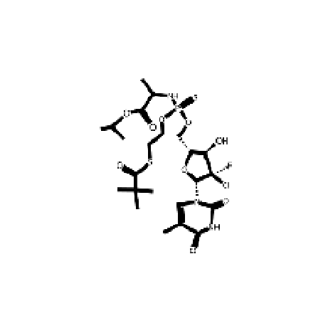 Cc1cn([C@@H]2O[C@H](COP(=S)(NC(C)C(=O)OC(C)C)OCCSC(=O)C(C)(C)C)[C@@H](O)[C@@]2(F)Cl)c(=O)[nH]c1=O